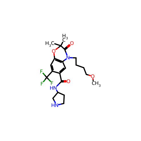 COCCCCN1C(=O)C(C)(C)Oc2cc(C(F)(F)F)c(C(=O)NC3CCNC3)cc21